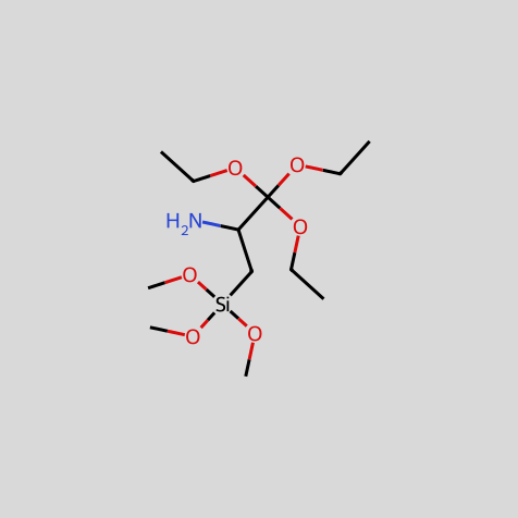 CCOC(OCC)(OCC)C(N)C[Si](OC)(OC)OC